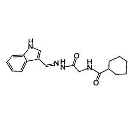 O=C(CNC(=O)C1CCCCC1)N/N=C/c1c[nH]c2ccccc12